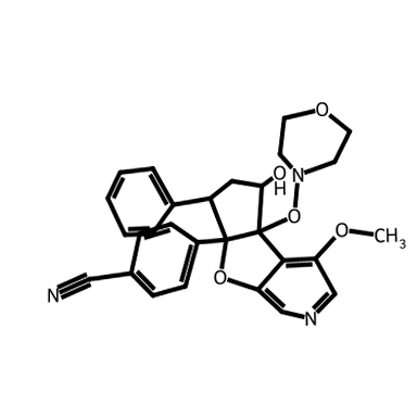 COc1cncc2c1C1(ON3CCOCC3)C(O)CC(c3ccccc3)C1(c1ccc(C#N)cc1)O2